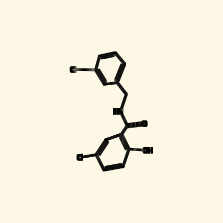 O=C(NCc1cccc(Cl)c1)c1cc(Cl)ccc1O